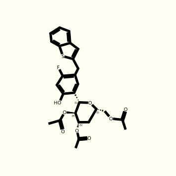 CC(=O)OC[C@@H]1C[C@H](OC(C)=O)[C@@H](OC(C)=O)[C@H](c2cc(Cc3cc4ccccc4s3)c(F)cc2O)O1